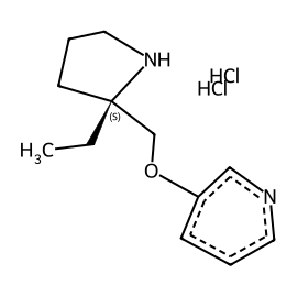 CC[C@@]1(COc2cccnc2)CCCN1.Cl.Cl